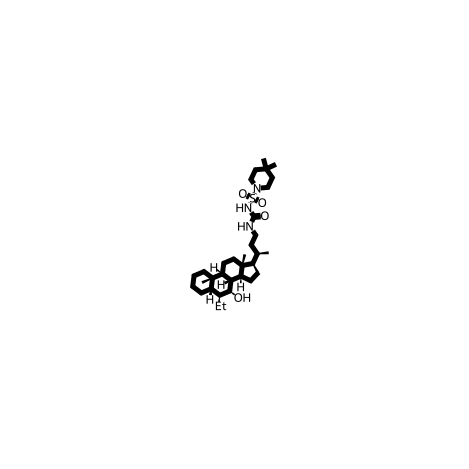 CC[C@H]1[C@@H](O)[C@@H]2[C@H](CC[C@]3(C)[C@@H]([C@H](C)CCNC(=O)NS(=O)(=O)N4CCC(C)(C)CC4)CC[C@@H]23)[C@@]2(C)CCCC[C@@H]12